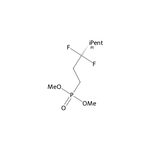 CCC[C@@H](C)C(F)(F)CCP(=O)(OC)OC